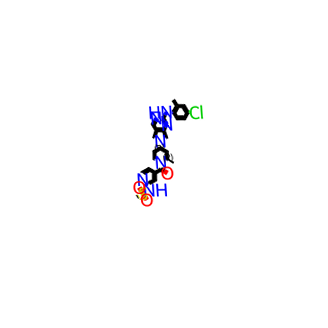 Cc1cc(Cl)ccc1Nc1ncc2c(n1)CN([C@@H]1CCN(C(=O)c3ccnc(NS(C)(=O)=O)c3)[C@H](C)C1)C2